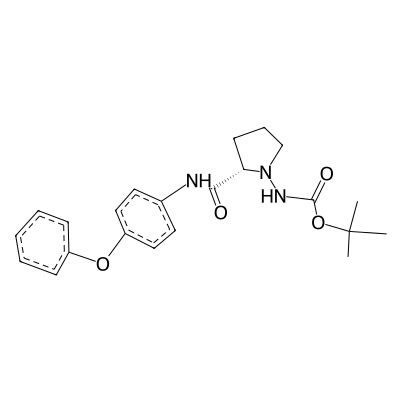 CC(C)(C)OC(=O)NN1CCC[C@H]1C(=O)Nc1ccc(Oc2ccccc2)cc1